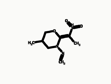 C=NN1CC(C)CO/C1=C(/C)[SH](=O)=O